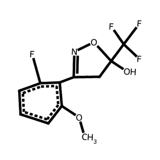 COc1cccc(F)c1C1=NOC(O)(C(F)(F)F)C1